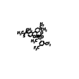 COc1ccc(N(C)C(C)=S)cc1C1=C(CN2C(=O)O[C@H](c3cc(C(F)(F)F)cc(C(F)(F)F)c3)[C@@H]2C)CC(C)(C)CC1